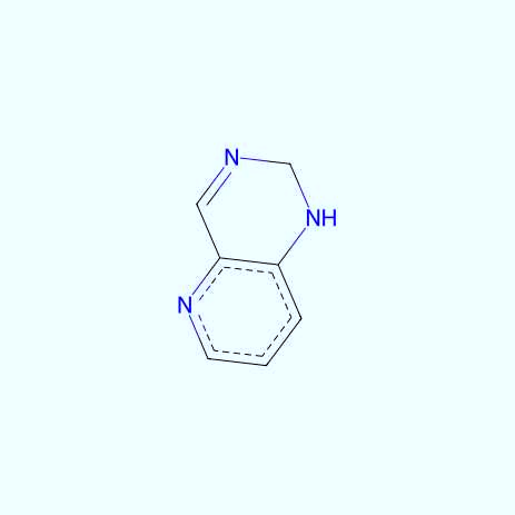 C1=NCNc2cccnc21